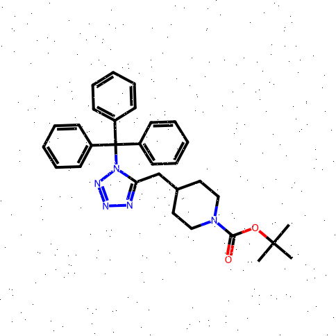 CC(C)(C)OC(=O)N1CCC(Cc2nnnn2C(c2ccccc2)(c2ccccc2)c2ccccc2)CC1